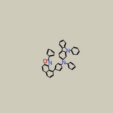 c1ccc(-c2nc3c(ccc4cccc(-c5ccc(N(c6ccccc6)c6ccc7c8ccccc8n(-c8ccccc8)c7c6)cc5)c43)o2)cc1